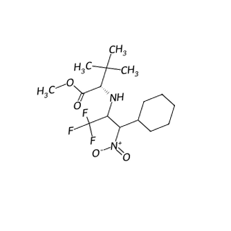 COC(=O)[C@@H](NC(C(C1CCCCC1)[N+](=O)[O-])C(F)(F)F)C(C)(C)C